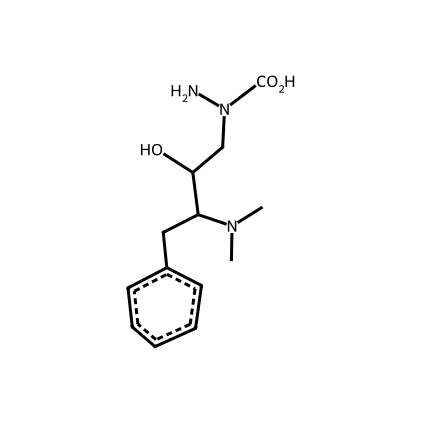 CN(C)C(Cc1ccccc1)C(O)CN(N)C(=O)O